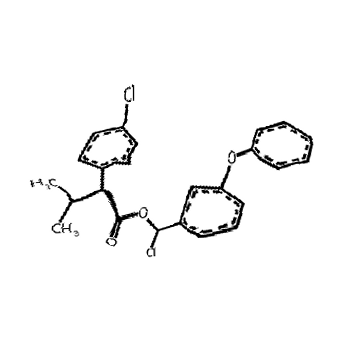 CC(C)C(C(=O)OC(Cl)c1cccc(Oc2ccccc2)c1)c1ccc(Cl)cc1